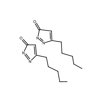 CCCCCC1=CC(=O)N=N1.CCCCCC1=CC(=O)N=N1